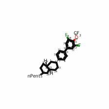 CCCCCC1CC[C@@H]2C[C@H](c3ccc(-c4cc(F)c(OC(F)(F)F)c(F)c4)cc3)CC[C@@H]2C1